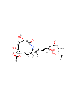 CC[C@H](O)[C@@H](C)[C@H]1O[C@@H]1C[C@@](C)(O)/C=C/C=C(\C)[C@H]1NC(=O)C[C@H](O)CC[C@@](C)(O)[C@@H](OC(C)=O)/C=C/[C@@H]1C